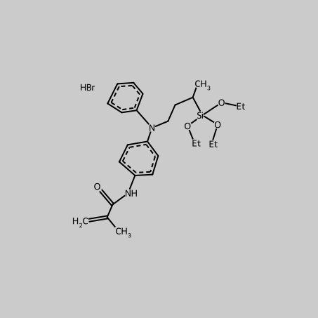 Br.C=C(C)C(=O)Nc1ccc(N(CCC(C)[Si](OCC)(OCC)OCC)c2ccccc2)cc1